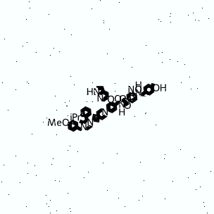 COc1ccc(CN2CCN(C3CC4(CCN(c5ccc(C(=O)NS(=O)(=O)c6ccc(NCC7CCC(C)(O)CC7)c([N+](=O)[O-])c6)c(Oc6cnc7[nH]ccc7c6)c5)CC4)C3)C(c3ccccc3C(C)C)C2C)cc1